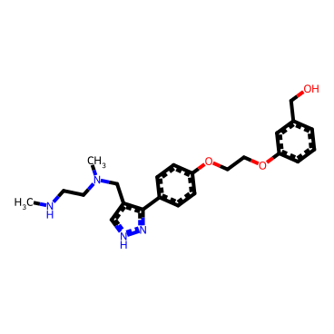 CNCCN(C)Cc1c[nH]nc1-c1ccc(OCCOc2cccc(CO)c2)cc1